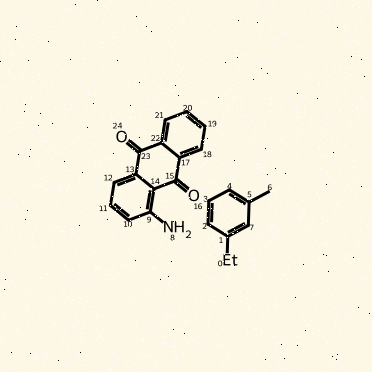 CCc1cccc(C)c1.Nc1cccc2c1C(=O)c1ccccc1C2=O